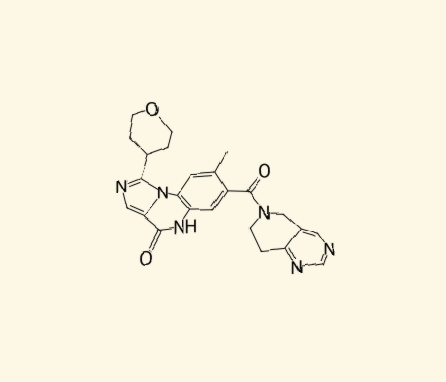 Cc1cc2c(cc1C(=O)N1CCc3ncncc3C1)[nH]c(=O)c1cnc(C3CCOCC3)n12